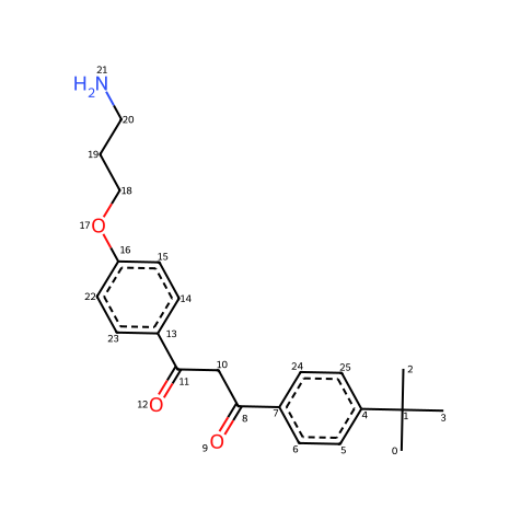 CC(C)(C)c1ccc(C(=O)CC(=O)c2ccc(OCCCN)cc2)cc1